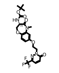 CN1C(=O)[C@@H](NC(=O)OC(C)(C)C)COc2ccc(OCCn3nc(C(F)(F)F)ccc3=O)cc21